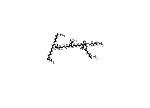 CCCCCCCCC(CCCCCCCC)OC(=O)CCCCCCCN(CCO)CCCCCCC(C(=O)OCCCCCC)C(=O)OCCCCCC